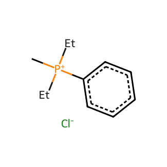 CC[P+](C)(CC)c1ccccc1.[Cl-]